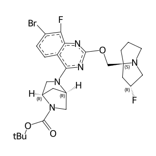 CC(C)(C)OC(=O)N1C[C@H]2C[C@@H]1CN2c1nc(OC[C@@]23CCCN2C[C@H](F)C3)nc2c(F)c(Br)ccc12